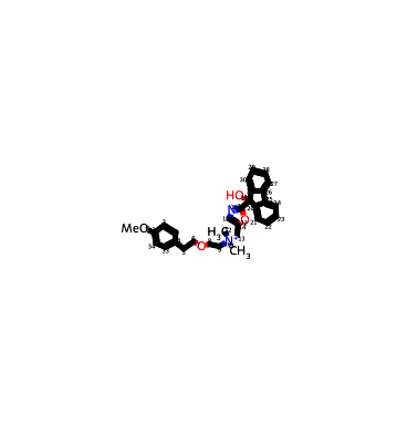 COc1ccc(CCOCC[N+](C)(C)Cc2cnc(C3(O)c4ccccc4-c4ccccc43)o2)cc1